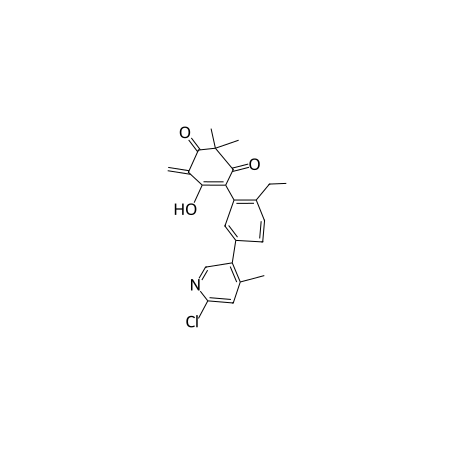 C=C1C(=O)C(C)(C)C(=O)C(c2cc(-c3cnc(Cl)cc3C)ccc2CC)=C1O